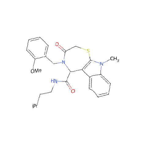 COc1ccccc1CN1C(=O)CSc2c(c3ccccc3n2C)C1C(=O)NCCC(C)C